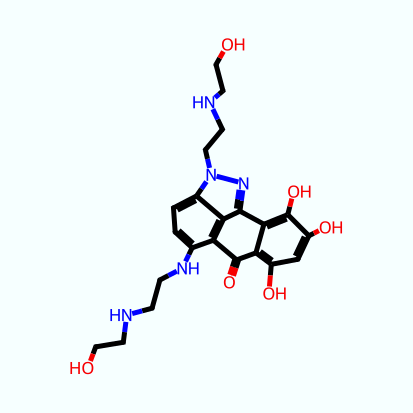 O=C1c2c(O)cc(O)c(O)c2-c2nn(CCNCCO)c3ccc(NCCNCCO)c1c23